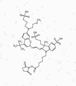 COCCN(CCCS(=O)(=O)O)c1ccc2c(c1)OC(/C=C/C=C1/N(CCCCCC(=O)ON3C(=O)CCC3=O)c3ccc(S(=O)(=O)O)cc3C1(C)CCCS(=O)(=O)O)C=C2C(C)(C)C